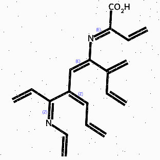 C=C/C=C(/C=C(/N=C(\C=C)C(=O)O)C(=C)C=C)C(\C=C)=N/C=C